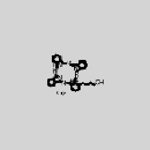 OCCCCc1cccc2c3nc4nc(nc5[nH]c(nc6nc(nc([nH]3)c12)-c1ccccc1-6)c1ccccc51)-c1ccccc1-4.[Co]